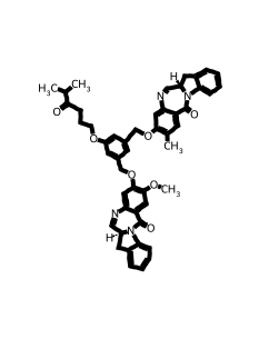 COc1cc2c(cc1OCc1cc(COc3cc4c(cc3C)C(=O)N3c5ccccc5C[C@H]3C=N4)cc(OCCCC(=O)C(C)C)c1)N=C[C@@H]1Cc3ccccc3N1C2=O